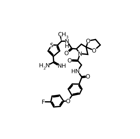 C[C@@H](NC(=O)C1CC2(CN1C(=O)CNC(=O)c1ccc(Oc3ccc(F)cc3)cc1)OCCO2)c1cc(C(=N)N)cs1